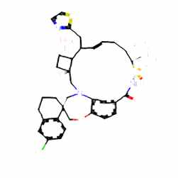 C[C@@H]1[C@@H](C)C/C=C/[C@](O)(Cc2nccs2)[C@@H]2CC[C@H]2CN2C[C@@]3(CCCc4cc(Cl)ccc43)COc3ccc(cc32)C(=O)NS1(=O)=O